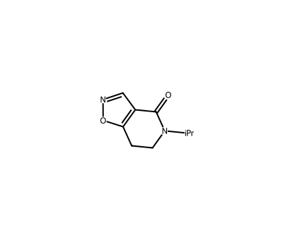 CC(C)N1CCc2oncc2C1=O